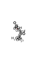 CC(C)(C)OC(=O)N1CCN(C(=O)N2CC[C@@](O)(Cn3cnc(-c4ccccc4)cc3=O)C3(CCCC3)C2)[C@H](c2cccc(F)c2)C1